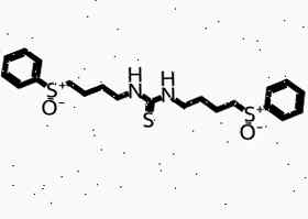 [O-][S+](CCCCNC(=S)NCCCC[S+]([O-])c1ccccc1)c1ccccc1